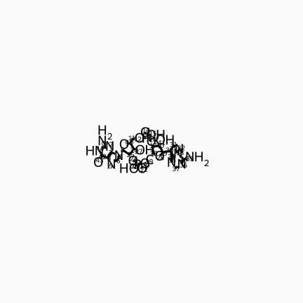 Nc1nc2c(ncn2C2OC3COP(=O)(O)OC4C(COP(=O)(O)OC2C3O)OC(c2cnn3c(N)ncnc23)C4O)c(=O)[nH]1